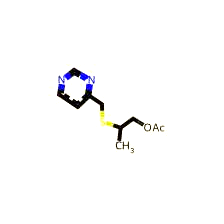 CC(=O)OCC(C)SCc1ccncn1